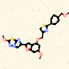 COCc1ccc(-c2nc(COc3cc(OC)cc4oc(-c5cn6nc(OC)sc6n5)cc34)cs2)cc1